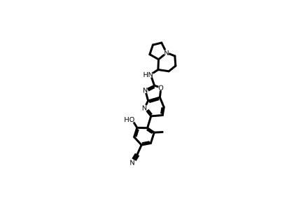 Cc1cc(C#N)cc(O)c1-c1ccc2oc(NC3CCCN4CCCC34)nc2n1